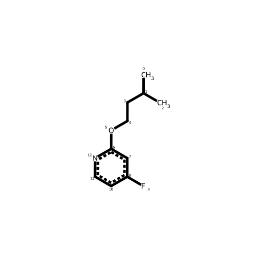 CC(C)CCOc1cc(F)ccn1